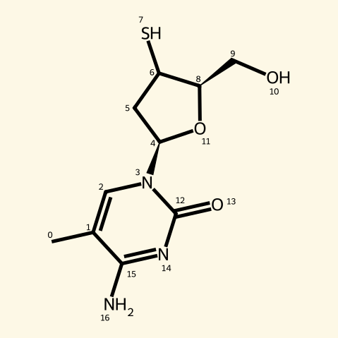 Cc1cn([C@H]2CC(S)[C@@H](CO)O2)c(=O)nc1N